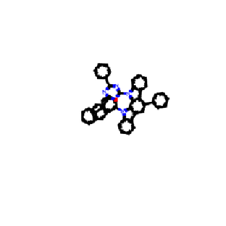 c1ccc(-c2cccc(-n3c4ccccc4c4cc(-c5ccccc5)c5c6ccccc6n(-c6nc(-c7ccccc7)nc(-c7ccccc7)n6)c5c43)c2)cc1